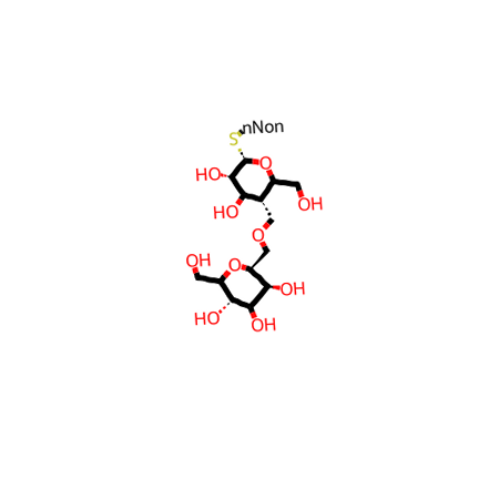 CCCCCCCCCS[C@@H]1OC(CO)[C@H](COC[C@@H]2OC(CO)[C@@H](O)C(O)[C@@H]2O)C(O)[C@@H]1O